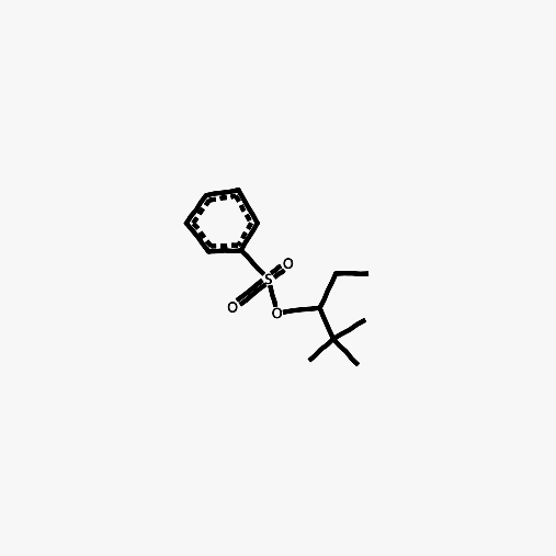 CCC(OS(=O)(=O)c1ccccc1)C(C)(C)C